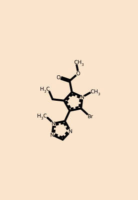 CCc1c(-c2ncnn2C)c(Br)n(C)c1C(=O)OC